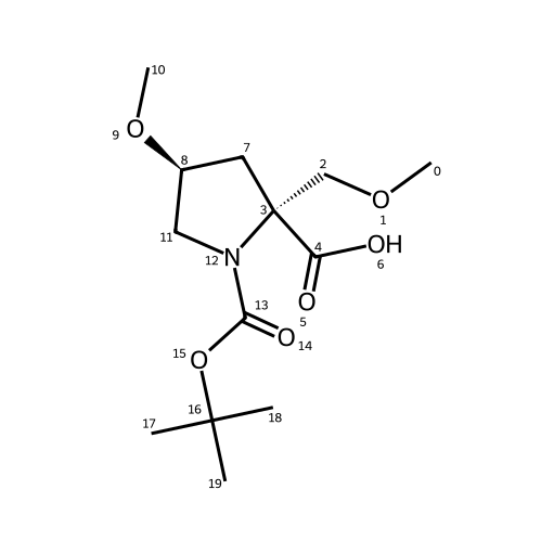 COC[C@@]1(C(=O)O)C[C@H](OC)CN1C(=O)OC(C)(C)C